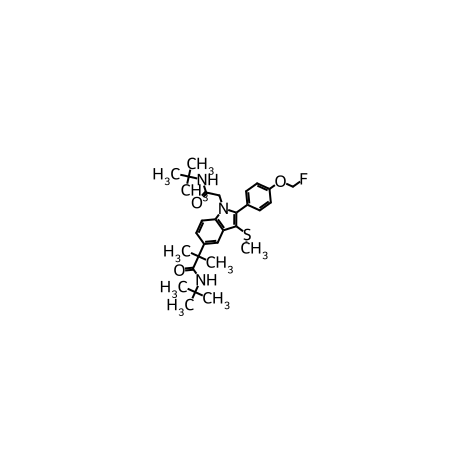 CSc1c(-c2ccc(OCF)cc2)n(CC(=O)NC(C)(C)C)c2ccc(C(C)(C)C(=O)NC(C)(C)C)cc12